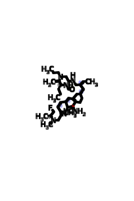 C#CC1=C(/C=C(/C=C\C2N=C2CN(C)[C@@H](C)CF)C(C)CN)C/C(=C\C(=C/C)CNCCN(CCC)C(=C)[C@H](CCC)NC=O)CC1